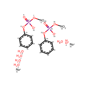 O.O.O.O.O.O.O=[N+]([O-])OP(=O)([O-])Oc1ccccc1.O=[N+]([O-])OP(=O)([O-])Oc1ccccc1.[Na+].[Na+]